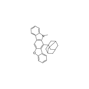 Cn1c2ccccc2c2cc3oc4ccccc4c3c(C34CC5CC(CC(C5)C3)C4)c21